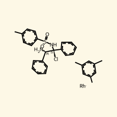 Cc1cc(C)cc(C)c1.Cc1ccc(S(=O)(=O)N[C@](Cl)(c2ccccc2)[C@H](N)c2ccccc2)cc1.[Rh]